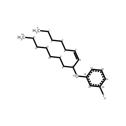 CCCCC/C=C\C(CCCCCCC)Oc1cccc(I)c1